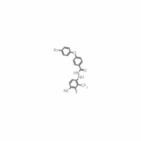 CC(=O)c1ccc(Oc2ccc(C(=O)NNc3ccc(C#N)c(F)c3C(F)(F)F)cc2)cc1